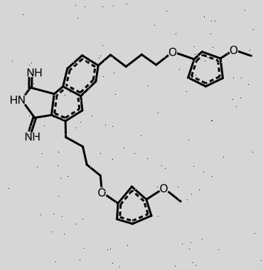 COc1cccc(OCCCCc2ccc3c4c(c(CCCCOc5cccc(OC)c5)cc3c2)C(=N)NC4=N)c1